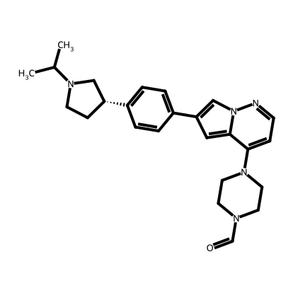 CC(C)N1CC[C@@H](c2ccc(-c3cc4c(N5CCN(C=O)CC5)ccnn4c3)cc2)C1